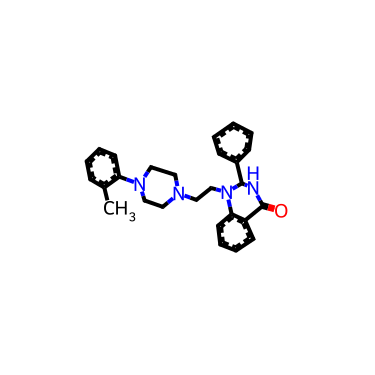 Cc1ccccc1N1CCN(CCN2c3ccccc3C(=O)NC2c2ccccc2)CC1